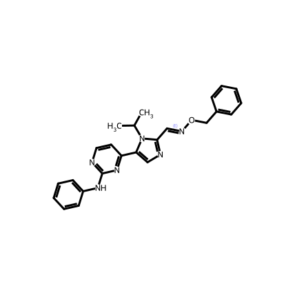 CC(C)n1c(-c2ccnc(Nc3ccccc3)n2)cnc1/C=N/OCc1ccccc1